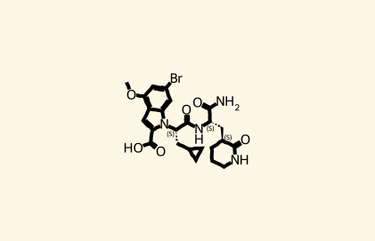 COc1cc(Br)cc2c1cc(C(=O)O)n2[C@@H](CC1CC1)C(=O)N[C@@H](C[C@@H]1CCCNC1=O)C(N)=O